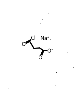 O=C([O-])CCC(=O)Cl.[Na+]